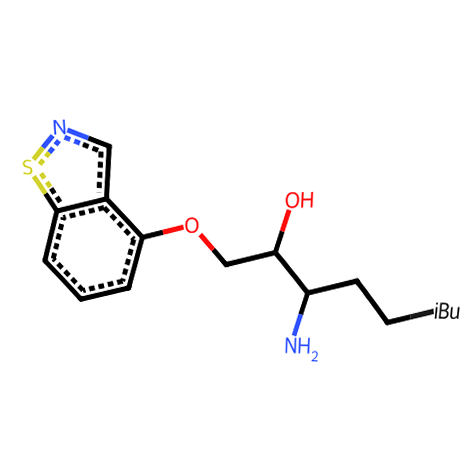 CCC(C)CCC(N)C(O)COc1cccc2sncc12